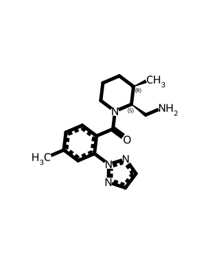 Cc1ccc(C(=O)N2CCC[C@@H](C)[C@H]2CN)c(-n2nccn2)c1